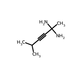 CC(C)C#CC(C)(N)N